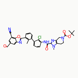 Cc1c(-c2nc3cc(C=O)cc(C#N)c3o2)cccc1-c1cccc(NC(=O)c2nc3c(n2C)CCN(C(=O)OC(C)(C)C)C3)c1Cl